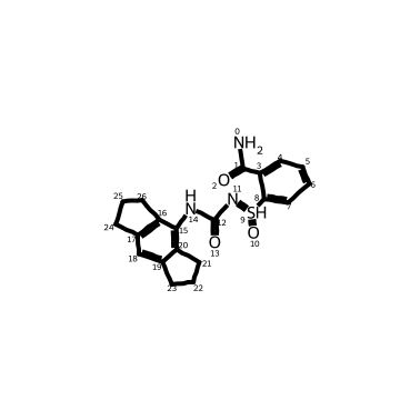 NC(=O)c1ccccc1/[SH](=O)=N/C(=O)Nc1c2c(cc3c1CCC3)CCC2